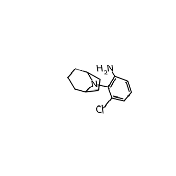 Nc1cccc(Cl)c1N1C2CCCC1CC2